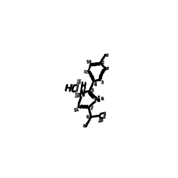 Cc1ccc(-c2nc(C(C)Cl)c[nH]2)cc1.Cl